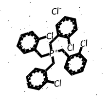 Clc1ccccc1C[P+](Cc1ccccc1Cl)(Cc1ccccc1Cl)Cc1ccccc1Cl.[Cl-]